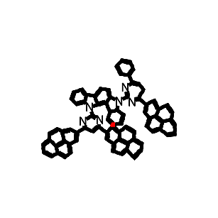 C1=CC2c3c(ccc4c5ccccc5n(-c5nc(-c6cc7ccc8cccc9ccc(c6)c7c89)cc(-c6cc7ccc8cccc9ccc(c6)c7c89)n5)c34)N(C3=NC(c4ccccc4)=CCC(c4cc5ccc6cccc7ccc(c4)c5c67)=N3)C2C=C1